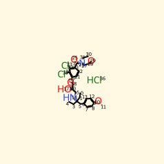 CCC(CC)(Cc1ccc(OC)cc1)NC[C@@H](O)COc1ccc(C(=O)N2CCOCC2)c(Cl)c1Cl.Cl